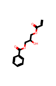 C=CC(=O)OCC(O)COC(=O)c1ccccc1